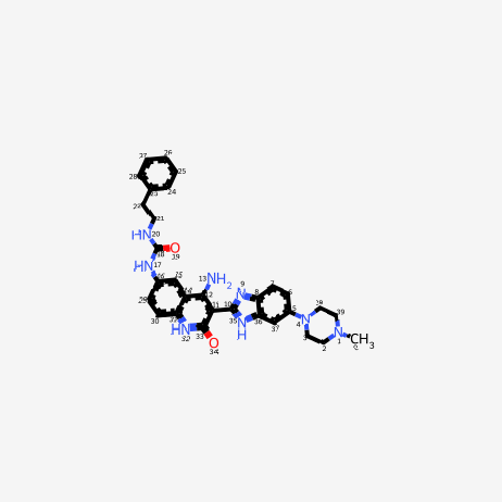 CN1CCN(c2ccc3nc(-c4c(N)c5cc(NC(=O)NCCc6ccccc6)ccc5[nH]c4=O)[nH]c3c2)CC1